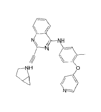 C#Cc1nc(Nc2ccc(Oc3ccncc3)c(C)c2)c2ccccc2n1.C1CC2CC2N1